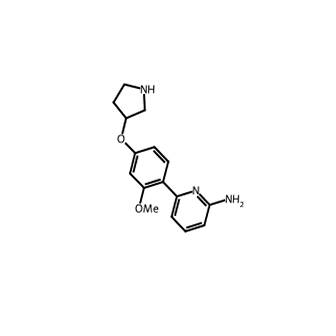 COc1cc(OC2CCNC2)ccc1-c1cccc(N)n1